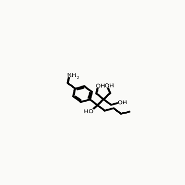 CCCCC(O)(c1ccc(CN)cc1)C(CO)(CO)CO